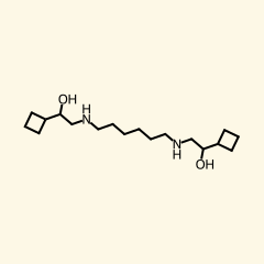 OC(CNCCCCCCNCC(O)C1CCC1)C1CCC1